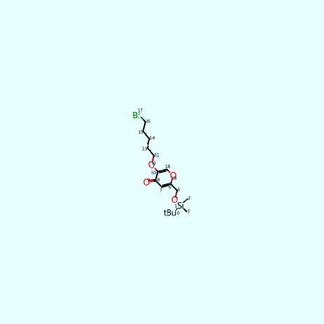 CC(C)(C)[Si](C)(C)OCc1cc(=O)c(OCCCCCBr)co1